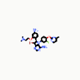 Cc1ccnc(Oc2ccc(-n3c(-c4ccc(N)cc4OCCN(C)C)c(Br)c4ncnc(N)c43)cc2F)n1